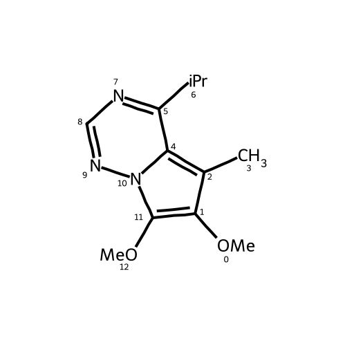 COc1c(C)c2c(C(C)C)ncnn2c1OC